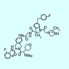 CNC(C(=O)N1Cc2cc(NC(=O)CNC(=O)C3(C)CN(C(=O)CN4CCN[C@H](C)C4)c4cc(Cc5ccc(F)cc5)ccc43)ccc2C[C@H]1C(=O)Nc1c(F)cccc1F)C1CCOCC1